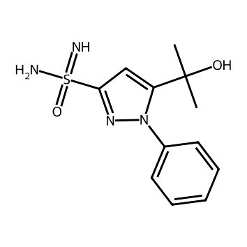 CC(C)(O)c1cc(S(=N)(N)=O)nn1-c1ccccc1